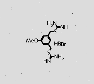 Br.Br.COc1cc(CSC(=N)N)cc(CSC(=N)N)c1